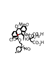 COc1ccc2[nH]c(C)c(CC(=O)OCCC3(SN=O)CCN(C)CC3)c2c1C(=O)c1ccc(Cl)cc1.O=C(O)CC(O)(CC(=O)O)C(=O)O